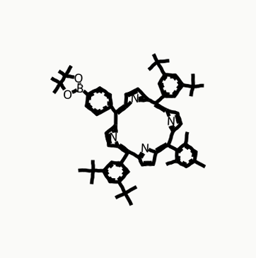 Cc1cc(C)c(C2=C3C=CC(=N3)C(c3cc(C(C)(C)C)cc(C(C)(C)C)c3)=C3C=CC(=N3)C(c3ccc(B4OC(C)(C)C(C)(C)O4)cc3)=C3C=CC(=N3)C(c3cc(C(C)(C)C)cc(C(C)(C)C)c3)=C3C=CC2=N3)c(C)c1